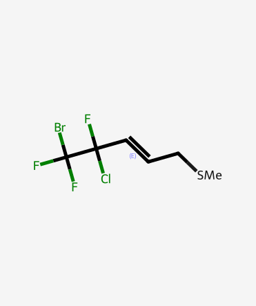 [CH2]SC/C=C/C(F)(Cl)C(F)(F)Br